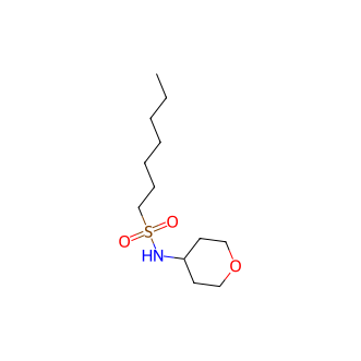 CCCCCCCS(=O)(=O)NC1CCOCC1